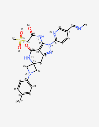 C/N=C/c1ccc(-n2nc3c(c2NC(=O)CS(C)(=O)=O)C(=O)NC2(C3)CN(c3ccc(C(C)C)cc3)C2)nc1